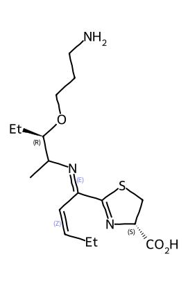 CC/C=C\C(=N/C(C)[C@@H](CC)OCCCN)C1=N[C@@H](C(=O)O)CS1